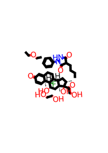 CCCCC1C(=O)NN(c2ccccc2)C1=O.CCOCC.C[C@H]1C[C@H]2[C@@H]3CCC4=CC(=O)C=C[C@]4(C)[C@@]3(F)[C@@H](O)C[C@]2(C)[C@@]1(O)C(=O)CO.OCCO